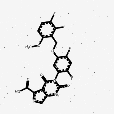 COc1ccc(F)c(F)c1COc1cc(-n2c(=O)[nH]c3csc(C(=O)O)c3c2=O)c(F)cc1F